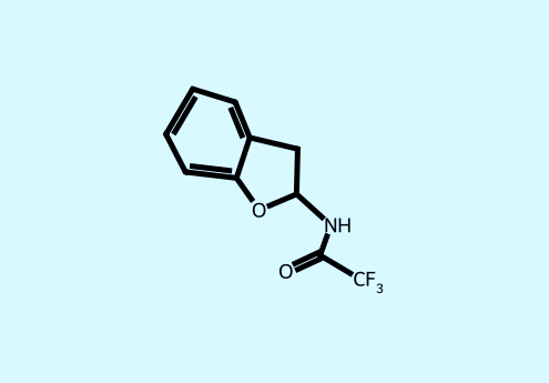 O=C(NC1Cc2ccccc2O1)C(F)(F)F